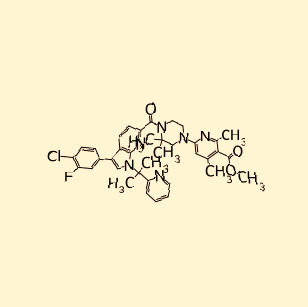 COC(=O)c1c(C)cc(N2CCN(C(=O)c3ccc4c(-c5ccc(Cl)c(F)c5)cn(C(C)(C)c5ccccn5)c4n3)C(C)(C)C2)nc1C